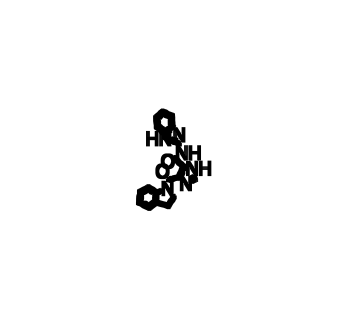 O=C(Nc1nc2ccccc2[nH]1)c1[nH]cnc1C(=O)N1CCc2ccccc21